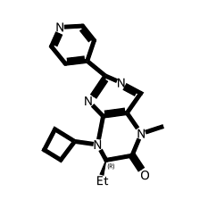 CC[C@@H]1C(=O)N(C)c2cnc(-c3ccncc3)nc2N1C1CCC1